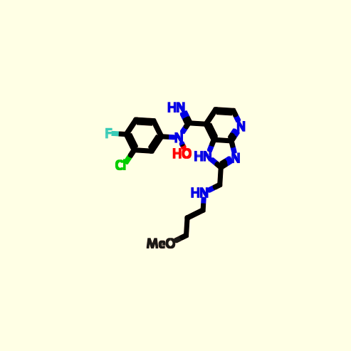 COCCCNCc1nc2nccc(C(=N)N(O)c3ccc(F)c(Cl)c3)c2[nH]1